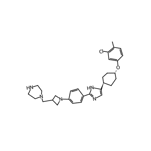 Cc1ccc(O[C@H]2CC[C@H](c3cnc(-c4ccc(N5CC(CN6CCNCC6)C5)cc4)[nH]3)CC2)cc1Cl